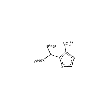 CCCCCCCC(CCCCCC)c1scnc1C(=O)O